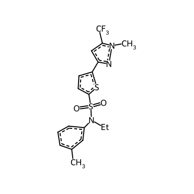 CCN(c1cccc(C)c1)S(=O)(=O)c1ccc(-c2cc(C(F)(F)F)n(C)n2)s1